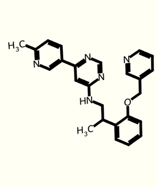 Cc1ccc(-c2cc(NCC(C)c3ccccc3OCc3cccnc3)ncn2)cn1